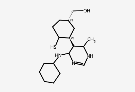 CC1NC=NC(NC2CCCCC2)C1[C@@H]1C[C@@H](CO)CCC1S